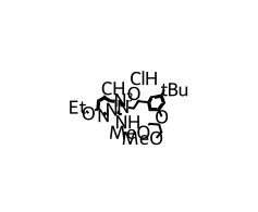 CCOc1cc(C)c2nn(CC(=O)c3cc(OC(COC)COC)cc(C(C)(C)C)c3)c(=N)n2n1.Cl